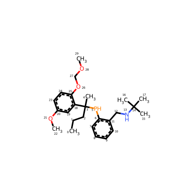 CCCC(C)(Pc1ccccc1CNC(C)(C)C)c1cc(OC)ccc1OCOC